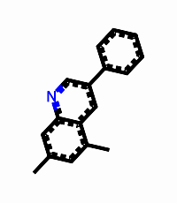 Cc1cc(C)c2cc(-c3ccccc3)cnc2c1